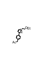 CCOCCn1ccc(-c2ccc(CC(C)=O)cc2)n1